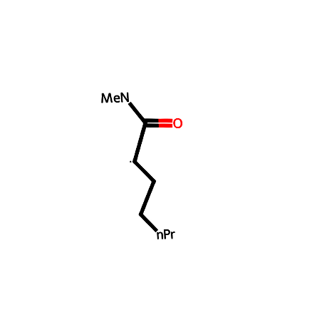 CCCCC[CH]C(=O)NC